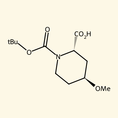 CO[C@H]1CCN(C(=O)OC(C)(C)C)[C@H](C(=O)O)C1